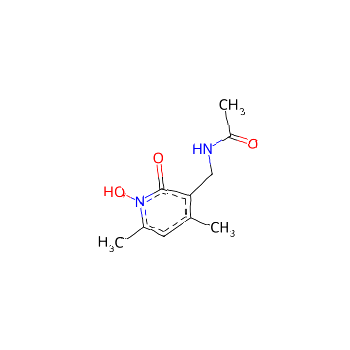 CC(=O)NCc1c(C)cc(C)n(O)c1=O